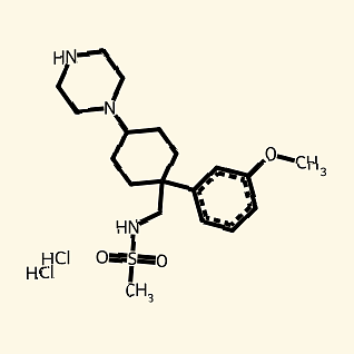 COc1cccc(C2(CNS(C)(=O)=O)CCC(N3CCNCC3)CC2)c1.Cl.Cl